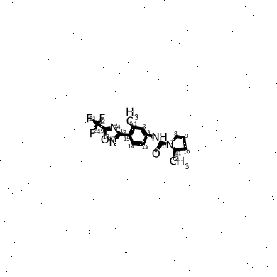 Cc1cc(NC(=O)N2CCCC2C)ccc1-c1noc(C(F)(F)F)n1